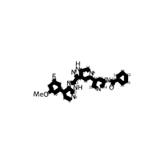 COc1cc(F)cc(-c2ccnc3[nH]c(-c4n[nH]c5cnc(-c6cncc(NC(=O)c7ccccc7)c6)cc45)nc23)c1